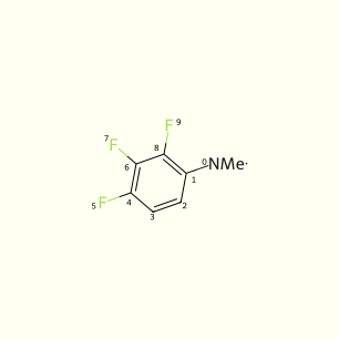 C[N]c1ccc(F)c(F)c1F